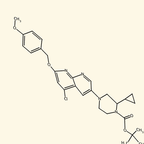 COc1ccc(COc2cc(Cl)c3cc(N4CCN(C(=O)OC(C)(C)C)C(C5CC5)C4)cnc3n2)cc1